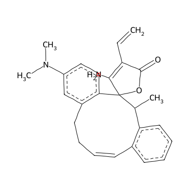 C=CC1=C(N)C2(OC1=O)c1ccc(N(C)C)cc1CC/C=C\c1ccccc1C2C